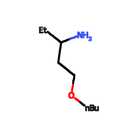 [CH2]CC(N)CCOCCCC